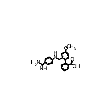 COc1ccc(-c2ccccc2C(=O)O)c(CNc2ccc(C(=N)N)cc2)c1